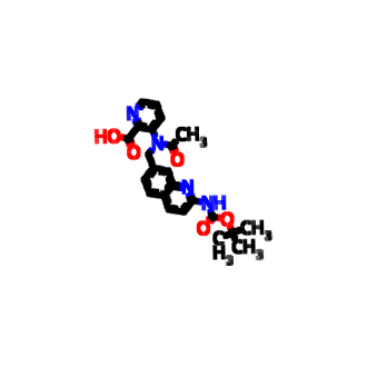 CC(=O)N(Cc1ccc2ccc(NC(=O)OC(C)(C)C)nc2c1)c1cccnc1C(=O)O